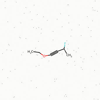 C[CH]OC#CC(C)F